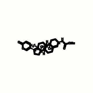 COC(=O)N[C@@H]1C=C2CC[C@@H]3[C@H](CC[C@]4(C)[C@@H](c5ccc(=O)oc5)CC[C@]34O)[C@@]2(C)CC1